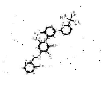 Cc1cnc(-c2cccc(C(C)(C)O)n2)cc1-n1c(C)cc(OCc2ncccc2F)c(Cl)c1=O